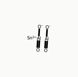 [O]=[Al][O-].[O]=[Al][O-].[Sn+2]